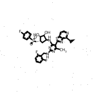 Cc1nc(NCc2c(F)cccc2F)nc(NC2C[C@H](CS(=O)(=O)c3ccc(F)cc3)[C@@H](O)[C@H]2O)c1-c1nc2c(C3CC3)nccc2s1